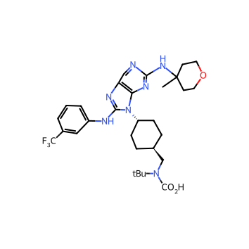 CC1(Nc2ncc3nc(Nc4cccc(C(F)(F)F)c4)n([C@H]4CC[C@H](CN(C(=O)O)C(C)(C)C)CC4)c3n2)CCOCC1